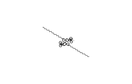 CCCCCCCCCCCCCCCCCCOc1ccc([N+](=O)[O-])cc1-c1cc([N+](=O)[O-])ccc1OCCCCCCCCCCCCCCCCCC